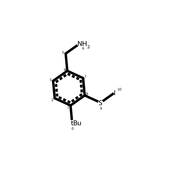 CC(C)(C)c1ccc(CN)cc1SI